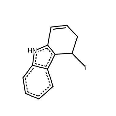 IC1CC=Cc2[nH]c3ccccc3c21